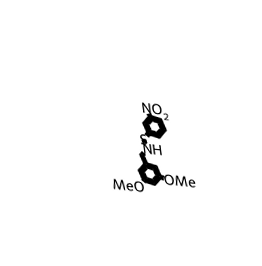 COc1cc(CNSc2cccc([N+](=O)[O-])c2)cc(OC)c1